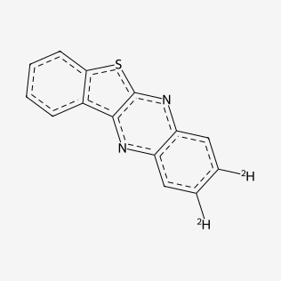 [2H]c1cc2nc3sc4ccccc4c3nc2cc1[2H]